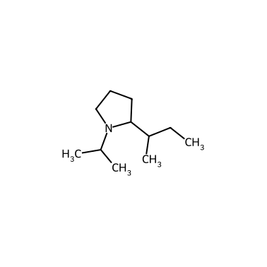 CCC(C)C1CCCN1C(C)C